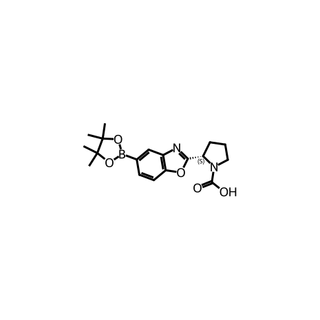 CC1(C)OB(c2ccc3oc([C@@H]4CCCN4C(=O)O)nc3c2)OC1(C)C